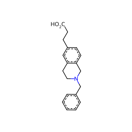 O=C(O)CCc1ccc2c(c1)CCN(Cc1ccccc1)C2